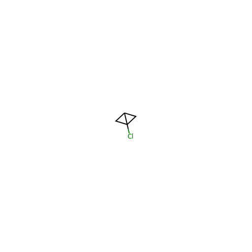 ClC12CC1C2